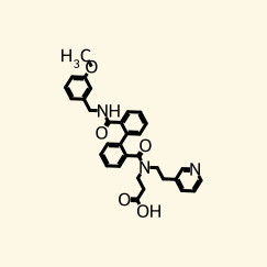 COc1cccc(CNC(=O)c2ccccc2-c2ccccc2C(=O)N(CCC(=O)O)CCc2cccnc2)c1